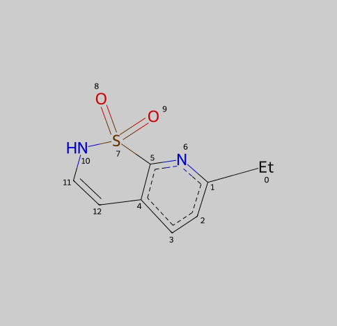 CCc1ccc2c(n1)S(=O)(=O)NC=C2